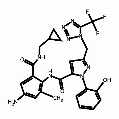 Cc1cc(N)cc(C(=O)NCC2CC2)c1NC(=O)c1cc(Cn2nnnc2C(F)(F)F)nn1-c1ccccc1O